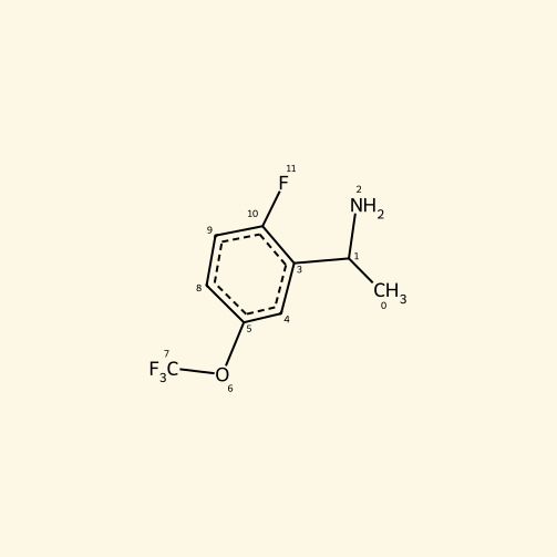 CC(N)c1cc(OC(F)(F)F)ccc1F